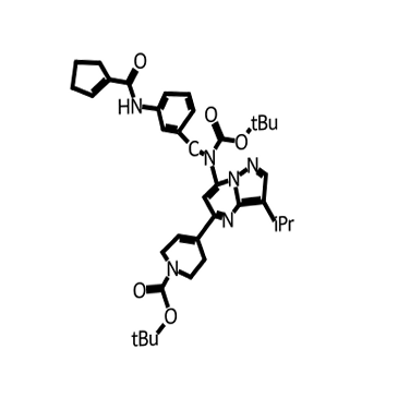 CC(C)c1cnn2c(N(Cc3cccc(NC(=O)C4=CCCC4)c3)C(=O)OC(C)(C)C)cc(C3=CCN(C(=O)OC(C)(C)C)CC3)nc12